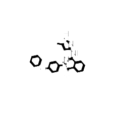 Cc1cc(Nc2nn(-c3ccc(Oc4ccccc4)cc3)c(=O)c3ccccc23)n[nH]1